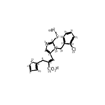 CCCSc1ncc(C=C(Cc2cccs2)C(=O)O)n1Cc1ccccc1Cl